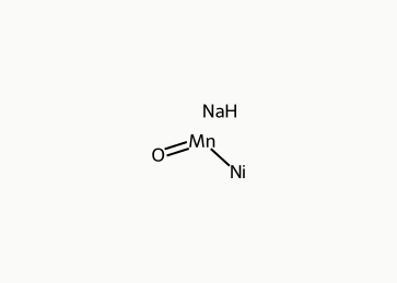 [NaH].[O]=[Mn][Ni]